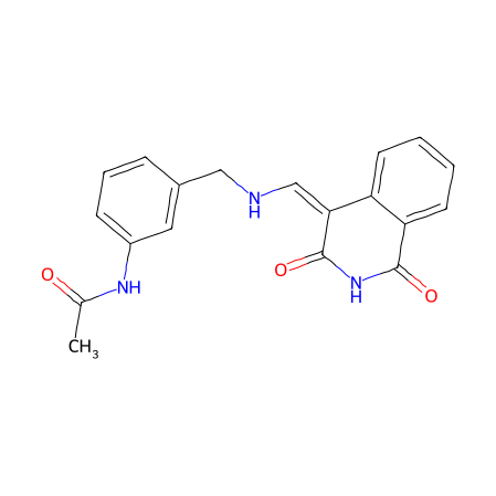 CC(=O)Nc1cccc(CNC=C2C(=O)NC(=O)c3ccccc32)c1